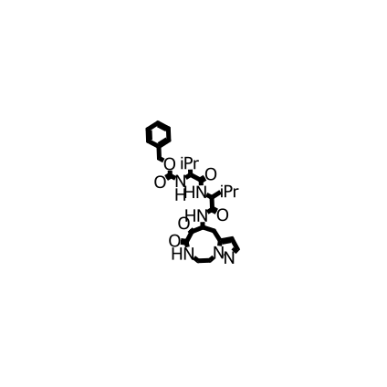 CC(C)C(NC(=O)OCc1ccccc1)C(=O)NC(C(=O)NC1Cc2ccnn2CCNC(=O)C1=O)C(C)C